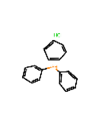 Cl.c1ccc(Pc2ccccc2)cc1.c1ccccc1